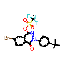 CC(C)(C)c1ccc(-n2nc(OS(=O)(=O)C(F)(F)F)c3cc(Br)ccc3c2=O)cc1